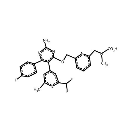 Cc1cc(-c2c(OCc3cccc(CN(C)C(=O)O)n3)nc(N)nc2-c2ccc(F)cc2)cc(C(F)F)n1